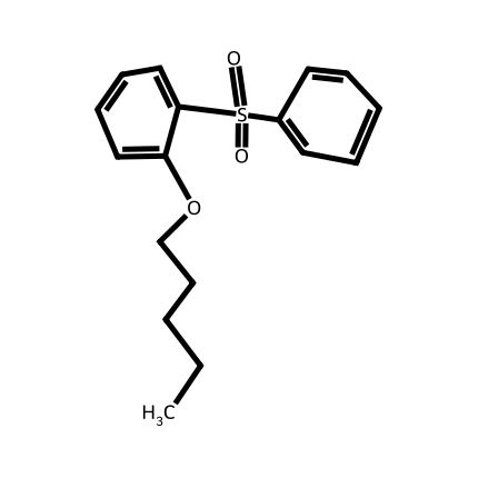 CCCCCOc1ccccc1S(=O)(=O)c1ccccc1